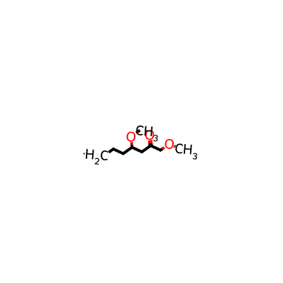 [CH2]CCC(CC(=O)COC)OC